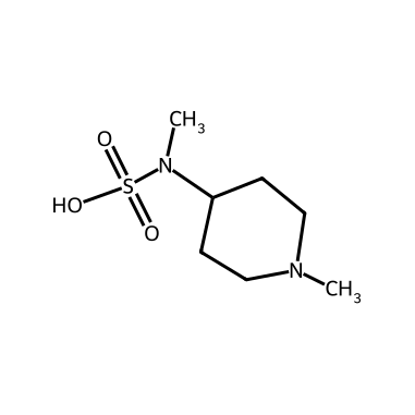 CN1CCC(N(C)S(=O)(=O)O)CC1